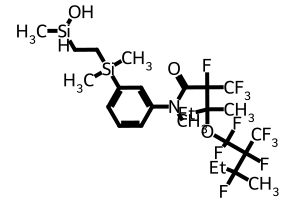 CCC(C)(F)C(F)(C(F)(F)F)C(F)(F)OC(C)(CC)C(F)(C(=O)N(C)c1cccc([Si](C)(C)CC[SiH](C)O)c1)C(F)(F)F